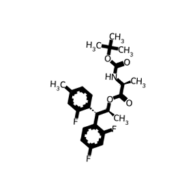 Cc1ccc([C@@H](c2ccc(F)cc2F)[C@H](C)OC(=O)[C@H](C)NC(=O)OC(C)(C)C)c(F)c1